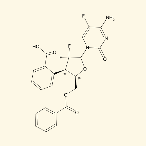 Nc1nc(=O)n(C2O[C@@H](COC(=O)c3ccccc3)[C@@H](c3ccccc3C(=O)O)C2(F)F)cc1F